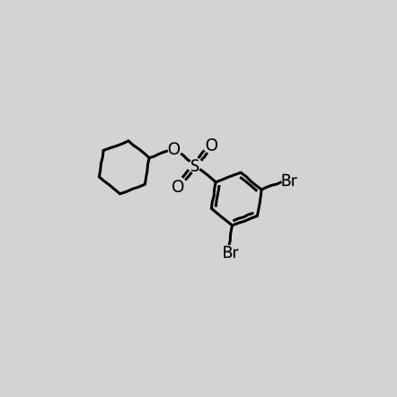 O=S(=O)(OC1CCCCC1)c1cc(Br)cc(Br)c1